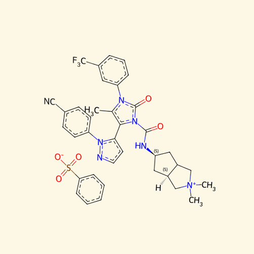 Cc1c(-c2ccnn2-c2ccc(C#N)cc2)n(C(=O)N[C@H]2CC3C[N+](C)(C)C[C@H]3C2)c(=O)n1-c1cccc(C(F)(F)F)c1.O=S(=O)([O-])c1ccccc1